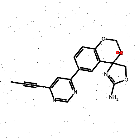 CC#Cc1cc(-c2ccc3c(c2)C2(COC(N)=N2)C2(COC2)CO3)ncn1